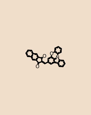 O=C1C(=Cc2cc3c4c(c2)c2ccccc2n4-c2ccccc2O3)C(=O)c2cc3ccccc3cc21